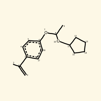 C=C(C)c1ccc(OC(C)OC2CCCC2)cc1